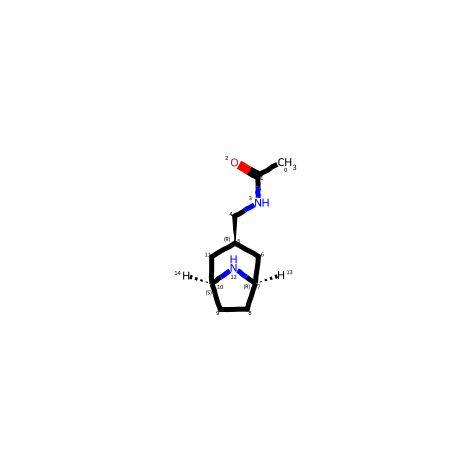 CC(=O)NC[C@H]1C[C@H]2CC[C@@H](C1)N2